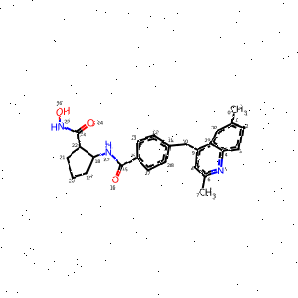 Cc1ccc2nc(C)cc(Cc3ccc(C(=O)NC4CCCC4C(=O)NO)cc3)c2c1